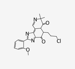 COc1ccccc1C1=NC2=C3C=NC(C)(C)C(=O)C3C(CCCCl)C(=O)C2=N1